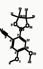 COc1cc(C#N)c(B2OC(C)(C)C(C)(C)O2)cc1OC